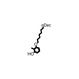 CCCCCCCCCCCCCCCCCOc1cccc(O)c1C